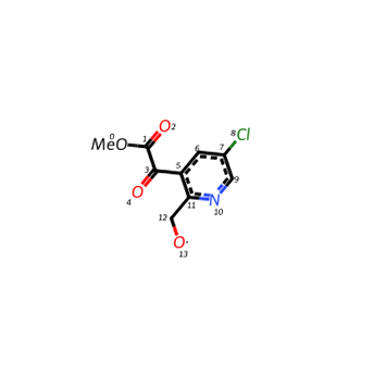 COC(=O)C(=O)c1cc(Cl)cnc1C[O]